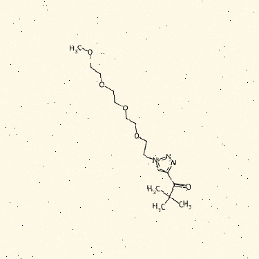 COCCOCCOCCOCCn1cc(C(=O)C(C)(C)C)nn1